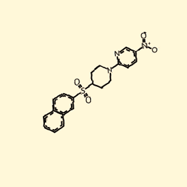 O=[N+]([O-])c1ccc(N2CCC(S(=O)(=O)c3ccc4ccccc4c3)CC2)nc1